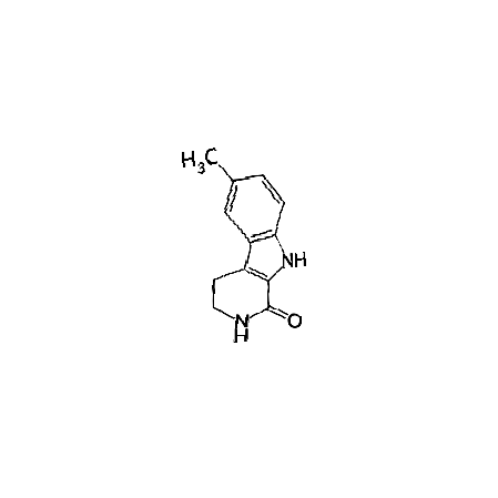 Cc1ccc2[nH]c3c(c2c1)CCNC3=O